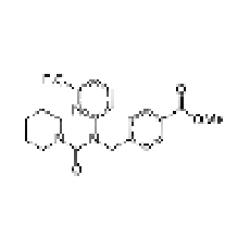 COC(=O)c1ccc(CN(C(=O)N2CCCCC2)c2cccc(C(F)(F)F)n2)cc1